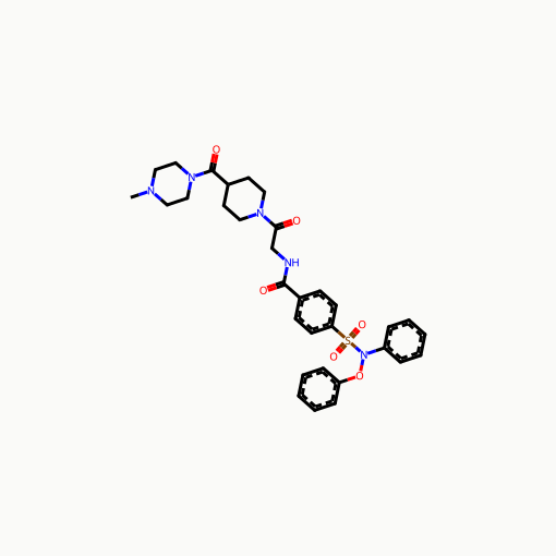 CN1CCN(C(=O)C2CCN(C(=O)CNC(=O)c3ccc(S(=O)(=O)N(Oc4ccccc4)c4ccccc4)cc3)CC2)CC1